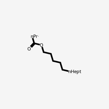 CC[CH]C(=O)OCCCCCCCCCCCC